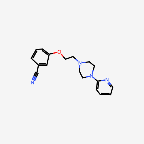 N#Cc1cccc(OCCN2CCN(c3ccccn3)CC2)c1